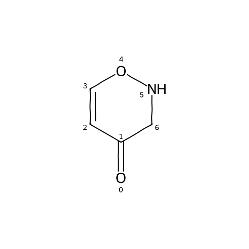 O=C1C=CONC1